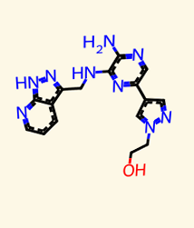 Nc1ncc(-c2cnn(CCO)c2)nc1NCc1n[nH]c2ncccc12